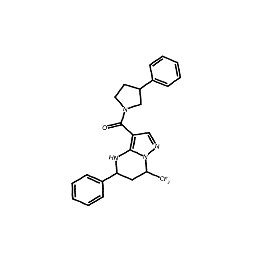 O=C(c1cnn2c1NC(c1ccccc1)CC2C(F)(F)F)N1CCC(c2ccccc2)C1